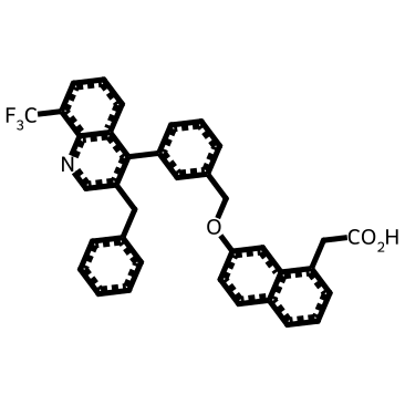 O=C(O)Cc1cccc2ccc(OCc3cccc(-c4c(Cc5ccccc5)cnc5c(C(F)(F)F)cccc45)c3)cc12